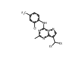 CCC(CC)c1cnn2c(Nc3ccc(C(F)(F)F)cc3Cl)nc(C)nc12